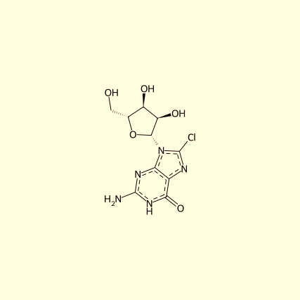 Nc1nc2c(nc(Cl)n2[C@@H]2O[C@H](CO)[C@@H](O)[C@H]2O)c(=O)[nH]1